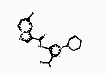 Cc1ccn2ncc(C(=O)Nc3cn(C4CCCCC4)nc3C(F)F)c2n1